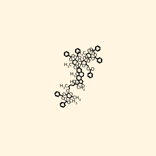 CC1O[C@@H](OC[C@@H](C)CCC(=O)[C@@H](C)C2C(=O)CC3C4CCC5CC(O[C@@H]6OC(COC(=O)c7ccccc7)[C@@H](O[C@@H]7OC(C)[C@H](C)[C@H](OC(=O)c8ccccc8)C7OC(=O)c7ccccc7)[C@H](C)C6O[C@@H]6OC(C)[C@H](C)[C@H](OC(=O)c7ccccc7)C6OC(=O)c6ccccc6)CCC5(C)C4CCC32C)C(OC(=O)c2ccccc2)[C@@H](OC(=O)c2ccccc2)[C@H]1C